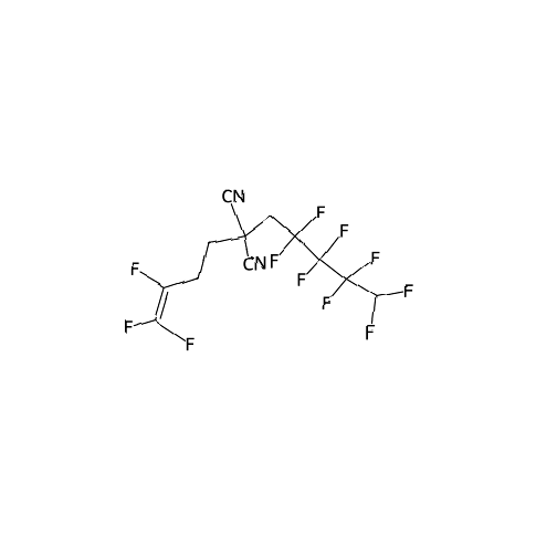 N#CC(C#N)(CCC(F)=C(F)F)CC(F)(F)C(F)(F)C(F)(F)C(F)F